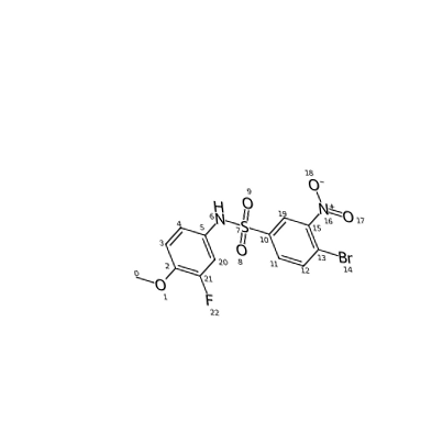 COc1ccc(NS(=O)(=O)c2ccc(Br)c([N+](=O)[O-])c2)cc1F